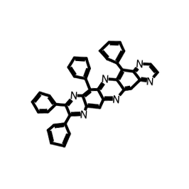 c1ccc(-c2nc3cc4nc5cc6nccnc6c(-c6ccccc6)c5nc4c(-c4ccccc4)c3nc2-c2ccccc2)cc1